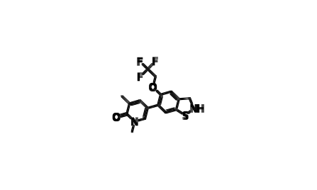 Cc1cc(-c2cc3c(cc2OCC(F)(F)F)CNS3)cn(C)c1=O